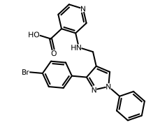 O=C(O)c1ccncc1NCc1cn(-c2ccccc2)nc1-c1ccc(Br)cc1